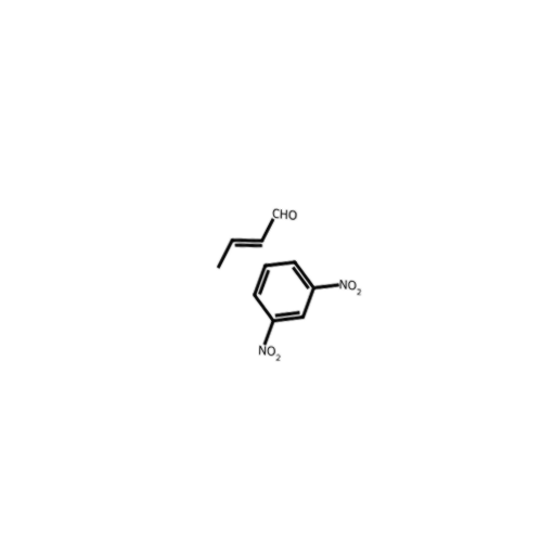 C/C=C/C=O.O=[N+]([O-])c1cccc([N+](=O)[O-])c1